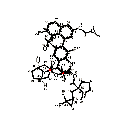 COCOc1cc(-c2c(S(C)(=O)=O)cc3c(N4C[C@H]5CC[C@@H](C4)N5C(=O)OC(C)(C)C)nc(OC[C@@]45CCCN4C[C@@]4(CC4(F)F)C5)nc3c2F)c2c(F)c(F)ccc2c1